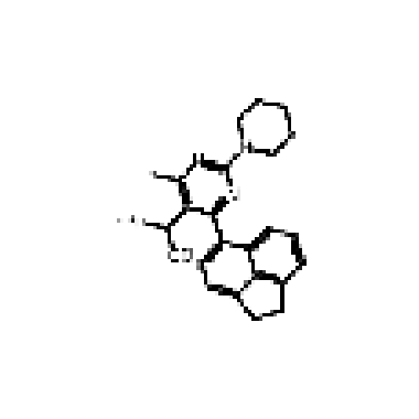 CCCC(C(=O)O)c1c(C)nc(N2CCCCC2)nc1-c1ccc2c3c(cccc13)CC2